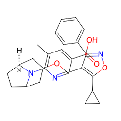 Cc1cc(C(=O)O)cnc1N1C2CC[C@H]1CC(OCc1c(-c3ccccc3)noc1C1CC1)C2